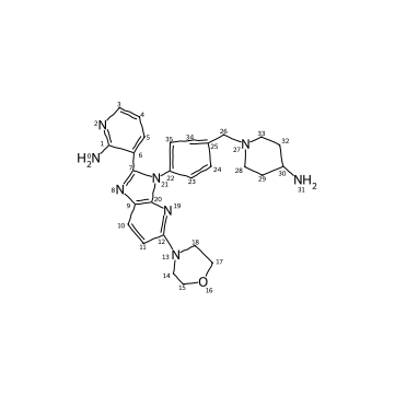 Nc1ncccc1-c1nc2ccc(N3CCOCC3)nc2n1-c1ccc(CN2CCC(N)CC2)cc1